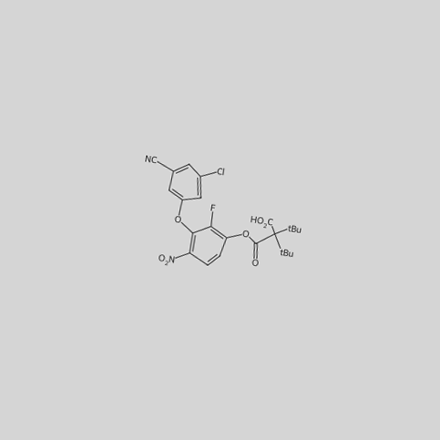 CC(C)(C)C(C(=O)O)(C(=O)Oc1ccc([N+](=O)[O-])c(Oc2cc(Cl)cc(C#N)c2)c1F)C(C)(C)C